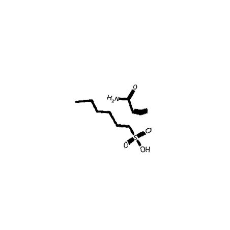 C=CC(N)=O.CCCCCCS(=O)(=O)O